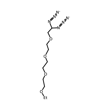 CCOCCOCCOCCOCC(N=[N+]=[N-])N=[N+]=[N-]